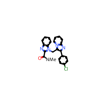 CNC(=O)c1nc2ccccc2n1Cc1c(-c2ccc(Cl)cc2)nc2ccccn12